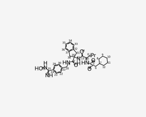 CC(C)[C@@H](NS(=O)(=O)CC1CCCCC1)C(=O)NC1(C(=O)NCc2ccc(C(=N)NO)cc2)Cc2ccccc2C1